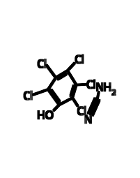 N#CN.Oc1c(Cl)c(Cl)c(Cl)c(Cl)c1Cl